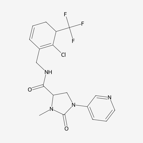 CN1C(=O)N(c2cccnc2)CC1C(=O)NCC1=C(Cl)C(C(F)(F)F)CC=C1